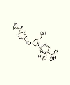 Cc1nc(N2C[C@@H](Oc3ccc(C(F)(F)F)cc3)C[C@H]2CO)ccc1C(=O)O